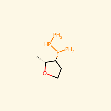 C[C@H]1OCC[C@H]1P(P)PP